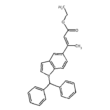 CCOC(=O)C=C(C)c1ccc2c(ccn2C(c2ccccc2)c2ccccc2)c1